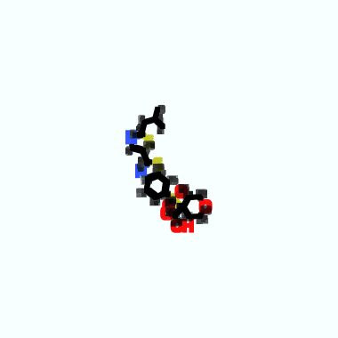 CC(C)Cc1ncc(-c2nc3ccc(S(=O)(=O)C4(C(=O)O)CCOCC4)cc3s2)s1